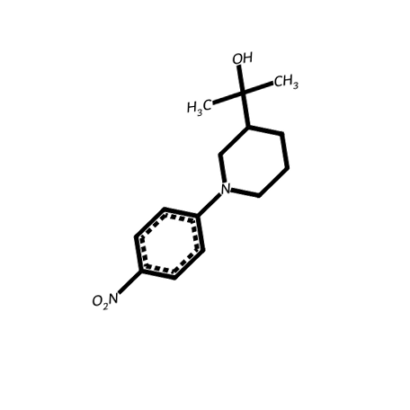 CC(C)(O)C1CCCN(c2ccc([N+](=O)[O-])cc2)C1